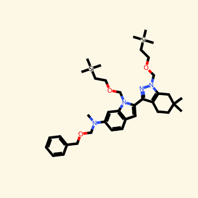 CN(COCc1ccccc1)c1ccc2cc(-c3nn(COCC[Si](C)(C)C)c4c3CCC(C)(C)C4)n(COCC[Si](C)(C)C)c2c1